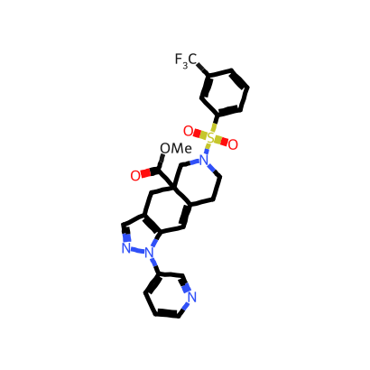 COC(=O)C12Cc3cnn(-c4cccnc4)c3C=C1CCN(S(=O)(=O)c1cccc(C(F)(F)F)c1)C2